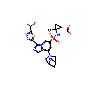 CC1(NS(=O)(=O)c2cc(N3CC4CC(C3)N4)c3cnc(-c4nnc(C(F)F)s4)n3c2)CC1.O=CO